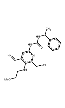 COCCNc1c(C=N)cc(NC(=O)NC(C)c2ccccc2)nc1CO